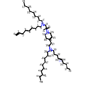 C=CCCCCCCCN(CCCCCCCCC)CC(C)(C)N1CCC(CCN(CCC/C=C/CCCC)CCCCCCCCCC)CC1